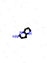 [NH]c1ccc2ncccc2n1